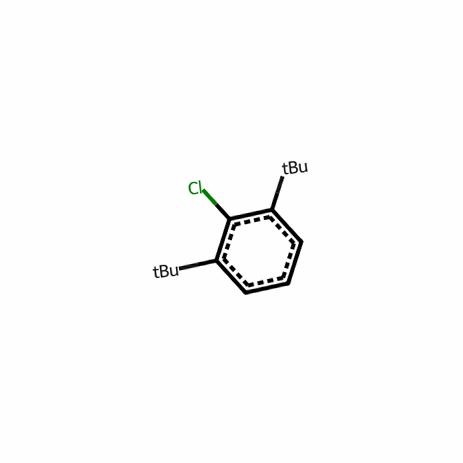 CC(C)(C)c1cccc(C(C)(C)C)c1Cl